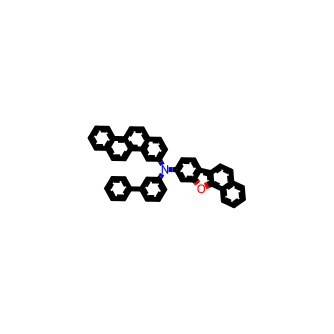 c1ccc(-c2cccc(N(c3ccc4c(c3)oc3c5ccccc5ccc43)c3ccc4ccc5c6ccccc6ccc5c4c3)c2)cc1